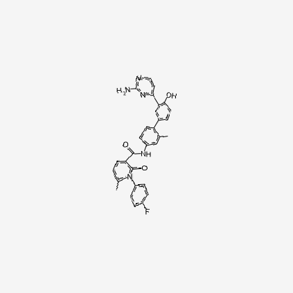 Cc1cc(NC(=O)c2ccc(C)n(-c3ccc(F)cc3)c2=O)ccc1-c1ccc(O)c(-c2ccnc(N)n2)c1